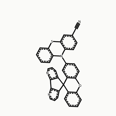 N#Cc1ccc2c(c1)Sc1ccccc1N2c1ccc2c(c1)C1(c3ccccc3O2)c2cccnc2-c2ncccc21